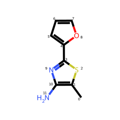 Cc1sc(-c2ccco2)nc1N